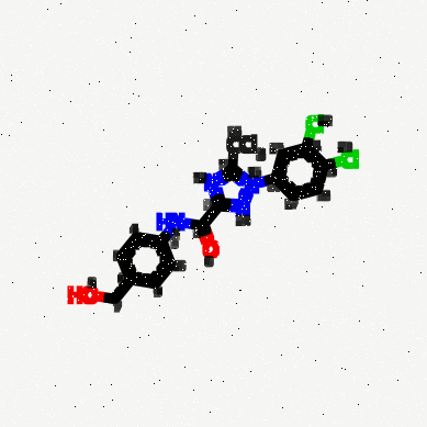 O=C(Nc1ccc(CO)cc1)c1nc(C(Cl)(Cl)Cl)n(-c2ccc(Cl)c(Cl)c2)n1